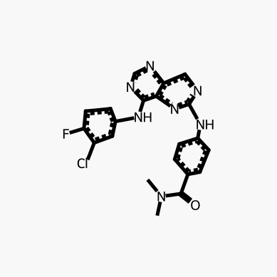 CN(C)C(=O)c1ccc(Nc2ncc3ncnc(Nc4ccc(F)c(Cl)c4)c3n2)cc1